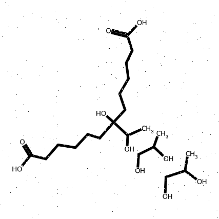 CC(O)C(O)(CCCCCC(=O)O)CCCCCC(=O)O.CC(O)CO.CC(O)CO